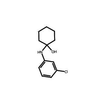 OC1(Nc2cccc(Cl)c2)C[CH]CCC1